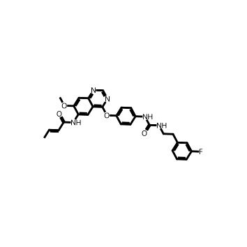 C/C=C/C(=O)Nc1cc2c(Oc3ccc(NC(=O)NCCc4cccc(F)c4)cc3)ncnc2cc1OC